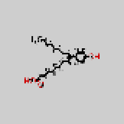 CCCCCCCCC(CCCCCCCCC(=O)O)c1ccc(O)cc1